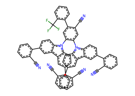 N#Cc1ccccc1-c1ccc2c(c1)c1cc(-c3ccccc3C#N)ccc1n2-c1cc(C#N)c(-c2ccccc2C(F)(F)F)cc1-n1c2ccc(-c3ccccc3C#N)cc2c2cc(-c3ccccc3C#N)ccc21